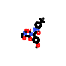 COc1ccc([C@H](C(=O)Nc2ccc([Si](C)(C)C)cc2)N(C)C(=O)C2OC=CN2O)cc1